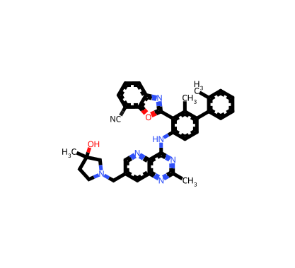 Cc1nc(Nc2ccc(-c3ccccc3C)c(C)c2-c2nc3cccc(C#N)c3o2)c2ncc(CN3CCC(C)(O)C3)cc2n1